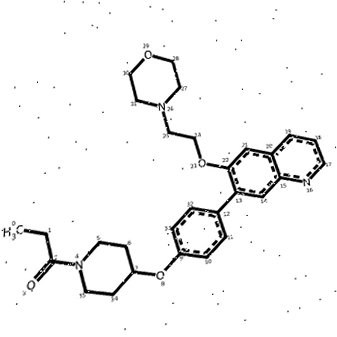 CCC(=O)N1CCC(Oc2ccc(-c3cc4ncccc4cc3OCCN3CCOCC3)cc2)CC1